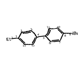 CCc1ccc(-c2ccc(C(C)CC)cc2)cc1